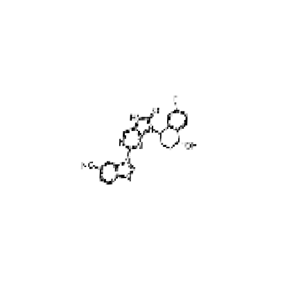 N#Cc1ccc2ncn(-c3ncc4[nH]c(=O)n(C5CC[C@@H](O)c6ccc(F)cc65)c4n3)c2c1